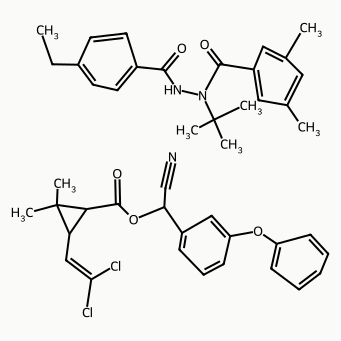 CC1(C)C(C=C(Cl)Cl)C1C(=O)OC(C#N)c1cccc(Oc2ccccc2)c1.CCc1ccc(C(=O)NN(C(=O)c2cc(C)cc(C)c2)C(C)(C)C)cc1